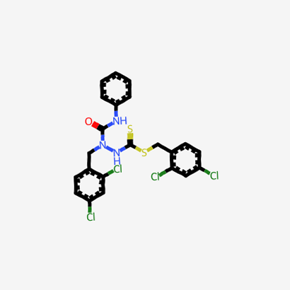 O=C(Nc1ccccc1)N(Cc1ccc(Cl)cc1Cl)NC(=S)SCc1ccc(Cl)cc1Cl